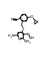 N#Cc1ccc(OC2CC2)cc1CSc1cc(N)nc(N)c1N=N